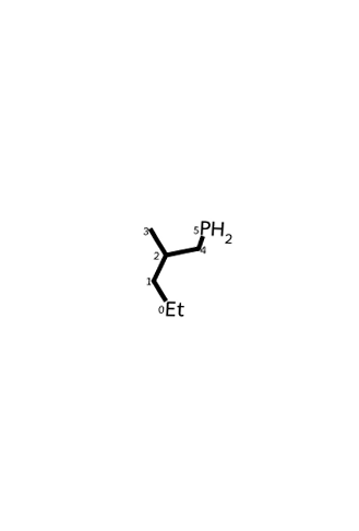 CCCC(C)CP